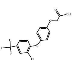 O=C(O)COc1ccc(Oc2ccc(C(F)(F)F)cc2Cl)cc1